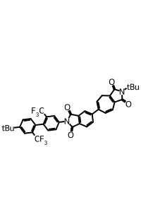 CC(C)(C)c1ccc(-c2ccc(N3C(=O)c4ccc(C5=CCC6=C(C=C5)C(=O)N(C(C)(C)C)C6=O)cc4C3=O)cc2C(F)(F)F)c(C(F)(F)F)c1